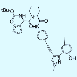 Cc1ccc(O)c(-c2nn(C)cc2C#Cc2ccc(NC(=O)[C@@H]3CCCCN3C(=O)[C@H](NC(=O)OC(C)(C)C)c3cccs3)cc2)c1